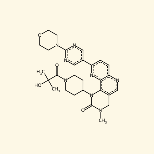 CN1Cc2cnc3ccc(-c4cnc(N5CCOCC5)nc4)nc3c2N(C2CCN(C(=O)C(C)(C)O)CC2)C1=O